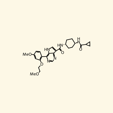 COCCOc1cc(OC)ccc1-c1ncnc2c(C(=O)N[C@H]3CC[C@H](NC(=O)C4CC4)CC3)c[nH]c12